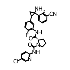 N#Cc1cccc(C2(N)CC2c2ccc(F)c(NC(=O)[C@H]3CCCN3C(=O)Nc3ccc(Cl)cn3)c2)c1